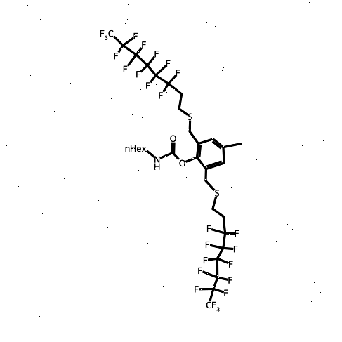 CCCCCCNC(=O)Oc1c(CSCCC(F)(F)C(F)(F)C(F)(F)C(F)(F)C(F)(F)C(F)(F)F)cc(C)cc1CSCCC(F)(F)C(F)(F)C(F)(F)C(F)(F)C(F)(F)C(F)(F)F